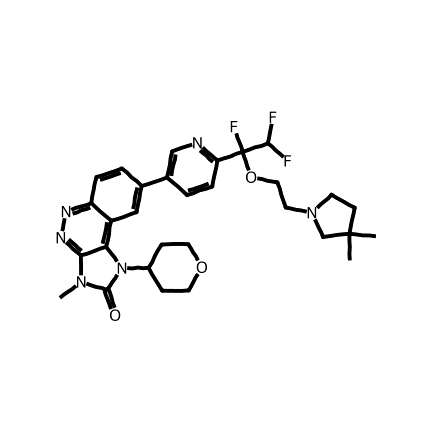 Cn1c(=O)n(C2CCOCC2)c2c3cc(-c4ccc(C(F)(OCCN5CCC(C)(C)C5)C(F)F)nc4)ccc3nnc21